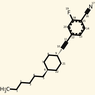 CCCCCC[C@H]1CC[C@H](C#Cc2ccc(C#N)c(F)c2)CC1